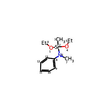 CCO[Si](C)(OCC)N(C)c1ccccc1